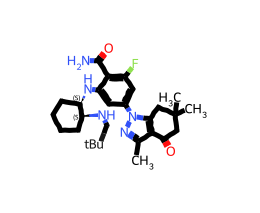 Cc1nn(-c2cc(F)c(C(N)=O)c(N[C@H]3CCCC[C@@H]3NCC(C)(C)C)c2)c2c1C(=O)CC(C)(C)C2